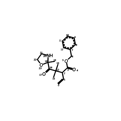 C=CC(C(=O)OCc1ccccc1)C(C)(C)C(=O)C1(C)NCCO1